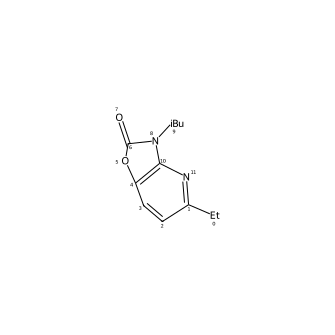 CCc1ccc2oc(=O)n(C(C)CC)c2n1